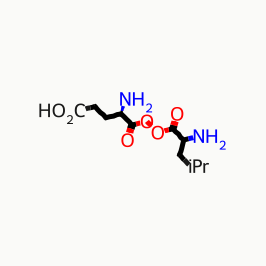 CC(C)CC(N)C(=O)OOC(=O)[C@H](N)CCC(=O)O